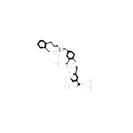 CC(C)(C)c1ccnc(CNCc2ccc(CNC(=O)C3Cc4ccccc4CN3)cc2CO)c1